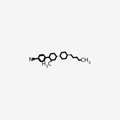 CCCCC[C@H]1CC[C@H](C2CCC(c3ccc(C#N)cc3)C(C)C2)CC1